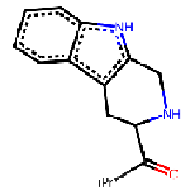 CC(C)C(=O)C1Cc2c([nH]c3ccccc23)CN1